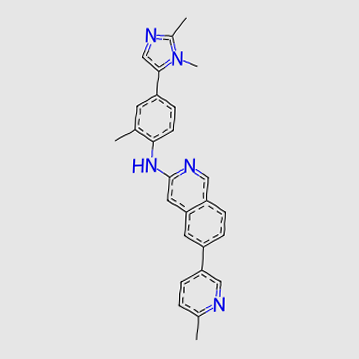 Cc1ccc(-c2ccc3cnc(Nc4ccc(-c5cnc(C)n5C)cc4C)cc3c2)cn1